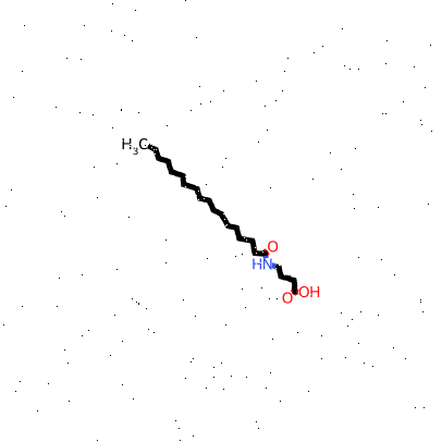 CCCCCCCCCCCCCCCCCC(=O)NCCCC(=O)O